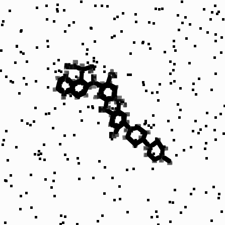 CCc1cc(Nc2ncc(C#N)c(Nc3ccc4nccnc4c3N(SC)C(C)C)n2)c(C(F)(F)F)cc1N1CCC(N2CCN(C)CC2)CC1